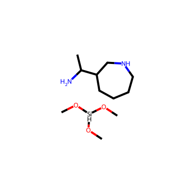 CC(N)C1CCCCNC1.CO[SiH](OC)OC